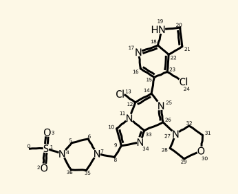 CS(=O)(=O)N1CCN(Cc2cn3c(Cl)c(-c4cnc5[nH]ccc5c4Cl)nc(N4CCOCC4)c3n2)CC1